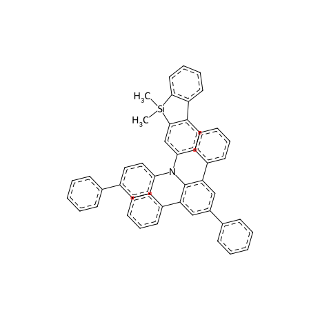 C[Si]1(C)c2ccccc2-c2ccc(N(c3ccc(-c4ccccc4)cc3)c3c(-c4ccccc4)cc(-c4ccccc4)cc3-c3ccccc3)cc21